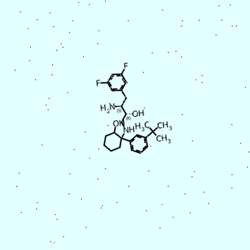 CC(C)(C)c1cccc(C2(NC[C@@H](O)[C@@H](N)Cc3cc(F)cc(F)c3)CCCCC2O)c1